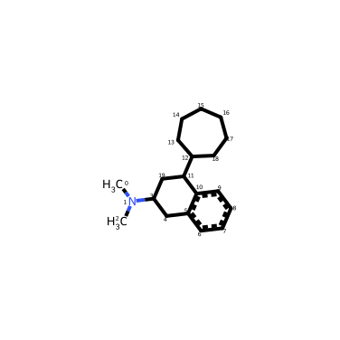 CN(C)C1Cc2ccccc2C(C2CCCCCC2)C1